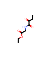 CCOC(=O)CNC(=O)C(=O)CC